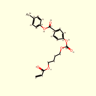 C=CC(=O)OCCCCOC(=O)Oc1ccc(C(=O)Oc2ccc(C(C)=O)cc2)cc1